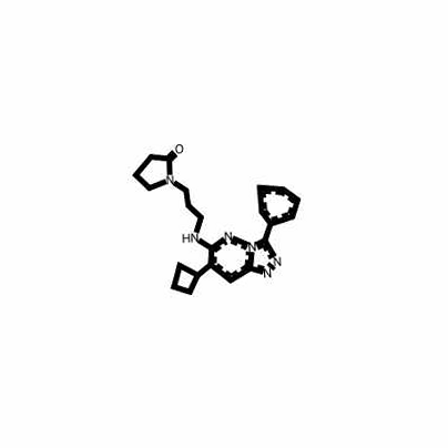 O=C1CCCN1CCCNc1nn2c(-c3ccccc3)nnc2cc1C1CCC1